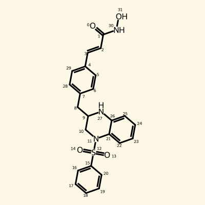 O=C(C=Cc1ccc(CC2CN(S(=O)(=O)c3ccccc3)c3ccccc3N2)cc1)NO